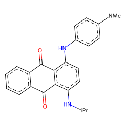 CNc1ccc(Nc2ccc(NC(C)C)c3c2C(=O)c2ccccc2C3=O)cc1